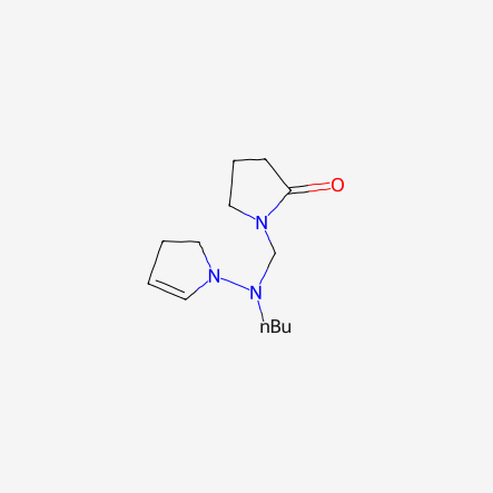 CCCCN(CN1CCCC1=O)N1C=CCC1